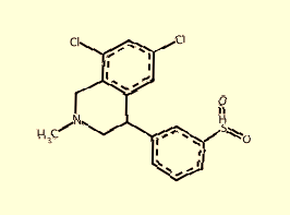 CN1Cc2c(Cl)cc(Cl)cc2C(c2cccc([SH](=O)=O)c2)C1